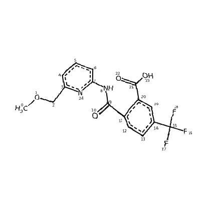 COCc1cccc(NC(=O)c2ccc(C(F)(F)F)cc2C(=O)O)n1